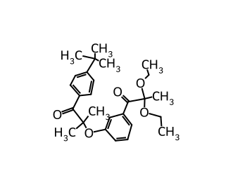 CCOC(C)(OCC)C(=O)c1cccc(OC(C)(C)C(=O)c2ccc(C(C)(C)C)cc2)c1